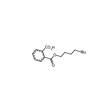 CCC(C)CCCCOC(=O)c1ccccc1C(=O)O